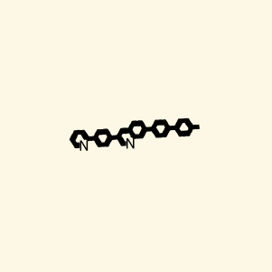 Cc1ccc(-c2ccc(-c3ccc4cc(-c5ccc(-c6ccccn6)cc5)cnc4c3)cc2)cc1